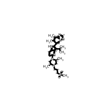 Cc1c(-c2[nH]c3ccc(N4C[C@H](C)N(CCCS(C)(=O)=O)C[C@@H]4C)nc3c2C(C)C)cn2ncnc2c1C